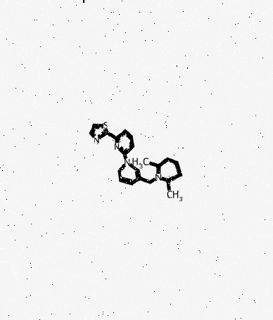 CC1CCCC(C)N1CC1=CN(c2cccc(-c3nccs3)n2)CC=C1